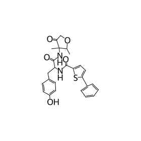 CC1OCC(=O)C1(C)NC(=O)C(Cc1ccc(O)cc1)NC(=O)c1ccc(-c2ccccc2)s1